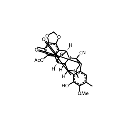 COc1c(C)cc2c(c1O)[C@@H]1[C@@H]3[C@@H]4SCC(=O)C(=O)OC[C@@H](c5c6c(c(C)c(OC(C)=O)c54)OCO6)N3C(C#N)(C2)CN1C